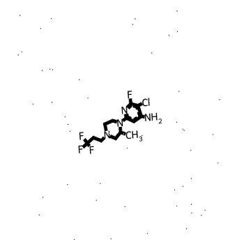 CC1CN(CCC(F)(F)F)CCN1c1cc(N)c(Cl)c(F)n1